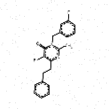 Cc1nc(CCc2ccccc2)c(Br)c(=O)n1Cc1cccc(F)c1